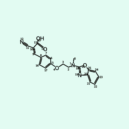 CN(CCOc1ccc(C=C(C#N)C(=O)O)cc1)c1nc2ccccc2o1